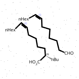 CCCCCC/C=C\CCCCCC=O.CCCCCC/C=C\CCCC[C@H](CCCC)C(=O)O